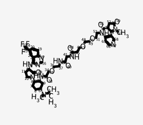 CC(C)N(C)[C@@H]1CC[C@H](N2CC[C@H](Nc3ncnc4ccc(C(F)(F)F)cc34)C2=O)[C@H](NC(=O)COCCNC(=O)CNC(=O)CCOCCOCCNC(=O)[C@H]2CC(=O)N(C)[C@@H]2c2cccnc2)C1